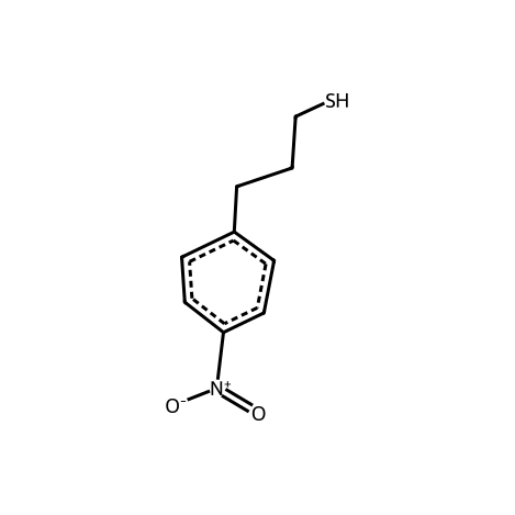 O=[N+]([O-])c1ccc(CCCS)cc1